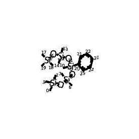 C[Si](C)(C)O[Si](C)(C)O[Si](C)(O[Si](C)(C)O[Si](C)(C)C)c1ccccc1